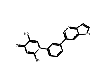 CC(C)c1cc(=O)c(O)cn1-c1cccc(-c2cnc3cc[nH]c3c2)c1